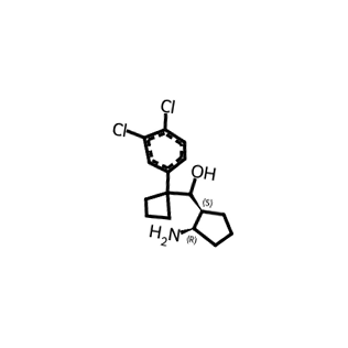 N[C@@H]1CCC[C@@H]1C(O)C1(c2ccc(Cl)c(Cl)c2)CCC1